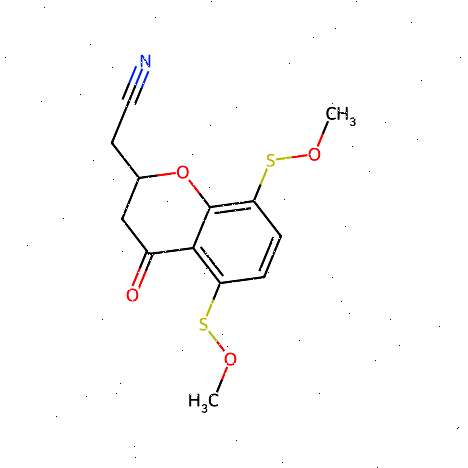 COSc1ccc(SOC)c2c1OC(CC#N)CC2=O